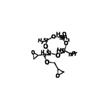 C(OCC1CO1)C1CO1.CCC[SiH]1O[SiH2]O[SiH2]O[SiH2]O1.O